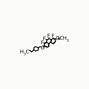 CCCC1CCC(COc2ccc3c(c2F)C(F)C(F)c2c-3ccc(OCC)c2F)CC1